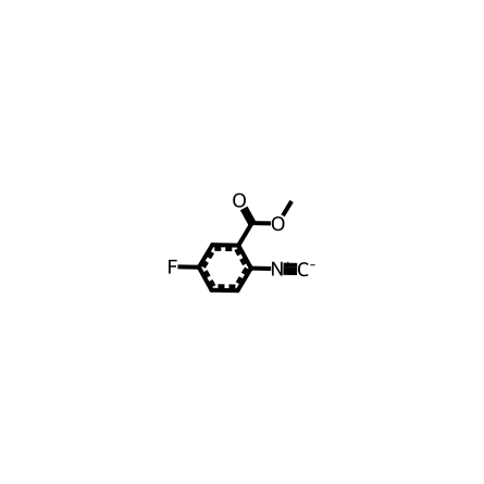 [C-]#[N+]c1ccc(F)cc1C(=O)OC